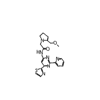 COCC1CCCN1CC(=O)Nc1cc(-c2nccs2)nc(-c2ccccn2)n1